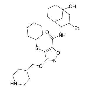 CCC1CC2(O)CCCC(C2)C1NC(=O)c1onc(OCC2CCNCC2)c1SC1CCCCC1